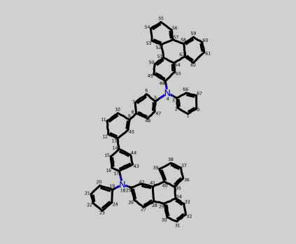 c1ccc(N(c2ccc(-c3cccc(-c4ccc(N(c5ccccc5)c5ccc6c7ccccc7c7ccccc7c6c5)cc4)c3)cc2)c2ccc3c4ccccc4c4ccccc4c3c2)cc1